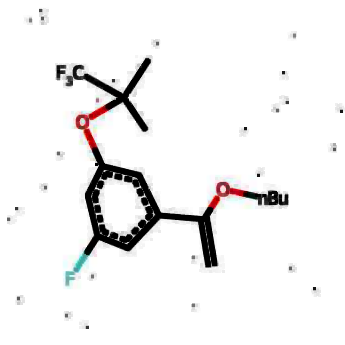 C=C(OCCCC)c1cc(F)cc(OC(C)(C)C(F)(F)F)c1